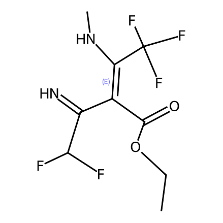 CCOC(=O)/C(C(=N)C(F)F)=C(/NC)C(F)(F)F